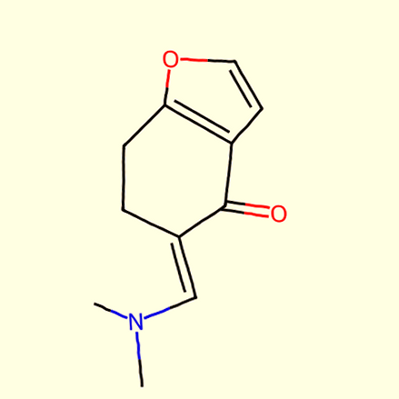 CN(C)C=C1CCc2occc2C1=O